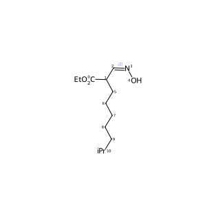 CCOC(=O)C(/C=N\O)CCCCCC(C)C